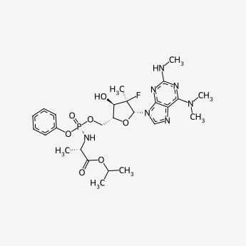 CNc1nc(N(C)C)c2ncn([C@@H]3O[C@H](CO[P@@](=O)(N[C@@H](C)C(=O)OC(C)C)Oc4ccccc4)[C@@H](O)[C@@]3(C)F)c2n1